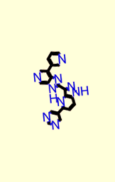 c1cncc(-c2cncc3[nH]c(-c4n[nH]c5ccc(-c6cncnc6)nc45)nc23)c1